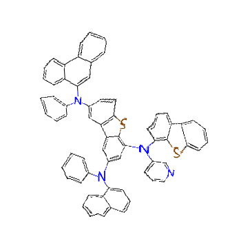 c1ccc(N(c2cc(N(c3cccnc3)c3cccc4c3sc3ccccc34)c3sc4ccc(N(c5ccccc5)c5cc6ccccc6c6ccccc56)cc4c3c2)c2cccc3ccccc23)cc1